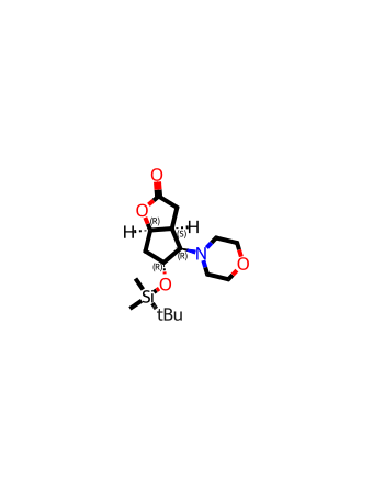 CC(C)(C)[Si](C)(C)O[C@@H]1C[C@H]2OC(=O)C[C@H]2[C@H]1N1CCOCC1